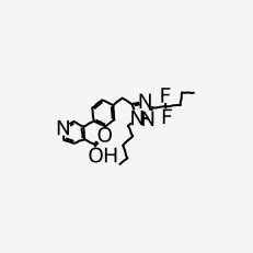 CCCCCn1nc(C(F)(F)CCC)nc1Cc1ccc(-c2cnccc2C(=O)O)cc1